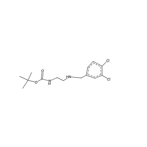 CC(C)(C)OC(=O)NCCNCc1ccc(Cl)c(Cl)c1